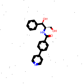 O=C(N[C@@H](CO)[C@H](O)c1ccccc1)c1ccc(-c2ccncc2)cc1